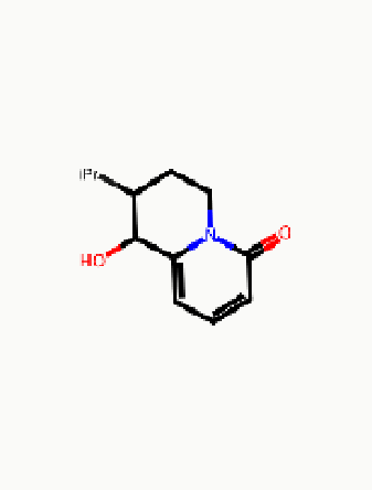 CC(C)C1CCn2c(cccc2=O)C1O